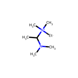 C[CH][N+](C)(C)C(C)N(C)C